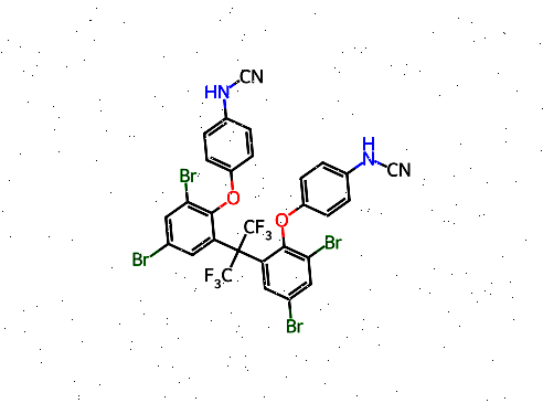 N#CNc1ccc(Oc2c(Br)cc(Br)cc2C(c2cc(Br)cc(Br)c2Oc2ccc(NC#N)cc2)(C(F)(F)F)C(F)(F)F)cc1